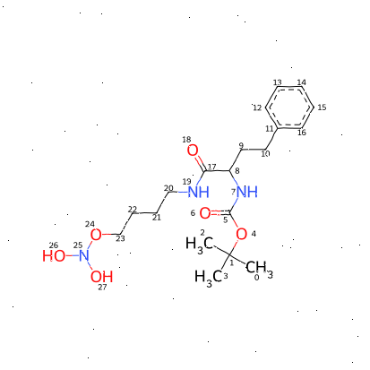 CC(C)(C)OC(=O)NC(CCc1ccccc1)C(=O)NCCCCON(O)O